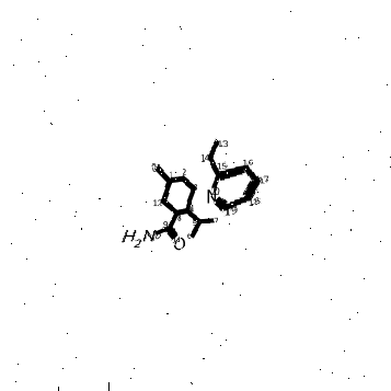 CC1CCC(C(C)C)C(C(N)=O)C1.CCc1ccccn1